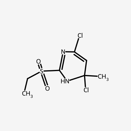 CCS(=O)(=O)C1=NC(Cl)=CC(C)(Cl)N1